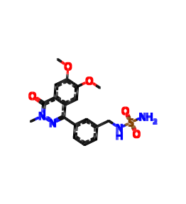 COc1cc2c(-c3cccc(CNS(N)(=O)=O)c3)nn(C)c(=O)c2cc1OC